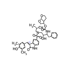 Cc1cc(/C=C2\C(=O)Nc3ccc(S(=O)(=O)N(CC(C)C)CC(O)C(Cc4ccccc4)NC(=O)OC4COC5OCCC45)cc32)cc(C)c1O